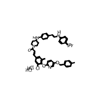 Cc1ccc(COc2ccc(Oc3c(C)cc(C=CC(=O)N4CCC(Nc5ccc(CCNc6ccc(C(C)C)cc6)cc5)CC4)cc3Cl)nc2)cc1.Cl.Cl